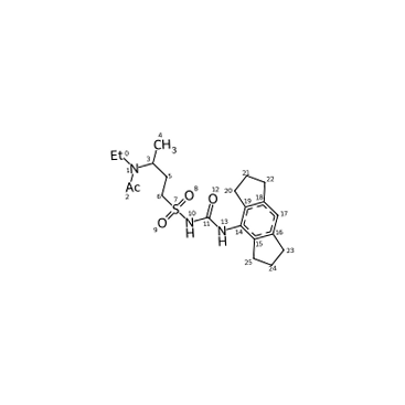 CCN(C(C)=O)C(C)CCS(=O)(=O)NC(=O)Nc1c2c(cc3c1CCC3)CCC2